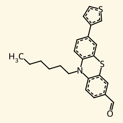 CCCCCCN1c2ccc(C=O)cc2Sc2cc(-c3ccsc3)ccc21